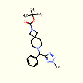 Cn1nnc(C(c2ccccc2)N2CCC3(CC2)CN(C(=O)OC(C)(C)C)C3)n1